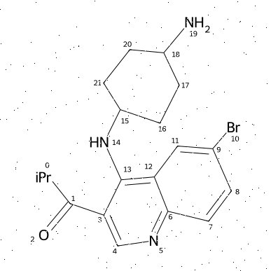 CC(C)C(=O)c1cnc2ccc(Br)cc2c1NC1CCC(N)CC1